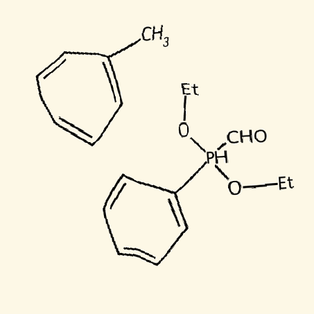 CCO[PH](C=O)(OCC)c1ccccc1.Cc1ccccc1